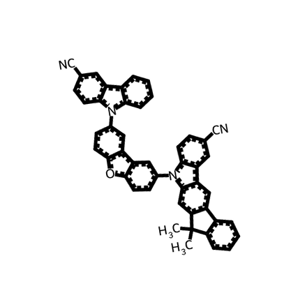 CC1(C)c2ccccc2-c2cc3c4cc(C#N)ccc4n(-c4ccc5oc6ccc(-n7c8ccccc8c8cc(C#N)ccc87)cc6c5c4)c3cc21